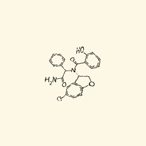 NC(=O)C(c1ccccc1)N(C(=O)c1ccccc1O)[C@@H]1COc2ccc(Cl)cc21